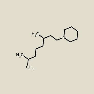 CC(C)CCCC(C)CCN1CCCCC1